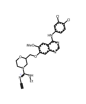 C#C/N=C(\NCC)N1CCOC(COc2cc3ncnc(Nc4ccc(Cl)c(Cl)c4)c3cc2OC)C1